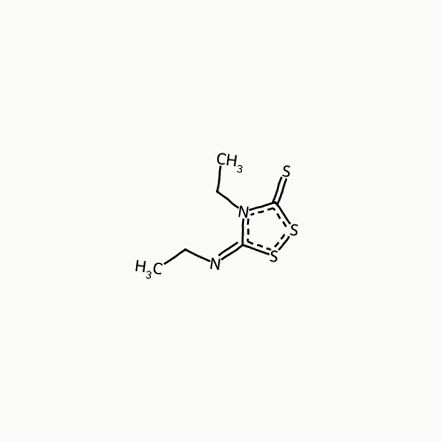 CC/N=c1/ssc(=S)n1CC